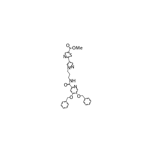 COC(=O)c1cnc(-c2cnn(CCCNC(=O)c3cc(OCc4ccccc4)c(OCc4ccccc4)cn3)c2)s1